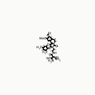 CCOc1cc2c(cc1OC)-c1c/c(=N\c3c(C)cc(C)cc3C)n(CCNC(=O)/C(NN)=C(/N)C#N)c(=O)n1CC2